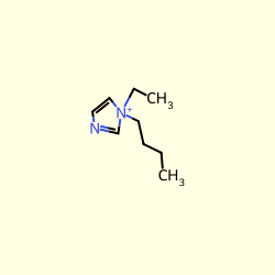 CCCC[N+]1(CC)C=CN=C1